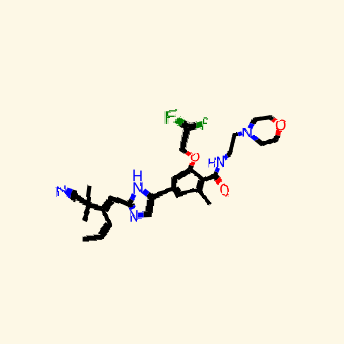 C/C=C\C(=C/c1ncc(-c2cc(C)c(C(=O)NCCN3CCOCC3)c(OCC(F)F)c2)[nH]1)C(C)(C)C#N